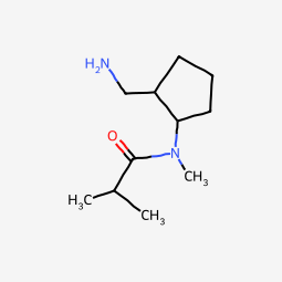 CC(C)C(=O)N(C)C1CCCC1CN